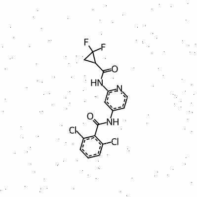 O=C(Nc1ccnc(NC(=O)C2CC2(F)F)c1)c1c(Cl)cccc1Cl